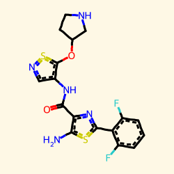 Nc1sc(-c2c(F)cccc2F)nc1C(=O)Nc1cnsc1OC1CCNC1